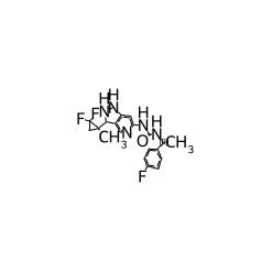 C[C@@H](NC(=O)Nc1cc2c(cn1)C(C1(C)CC1(F)F)NN2)c1ccc(F)cc1